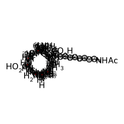 CC(=O)NCCOCCOCCOCCOCCOCCOCCOCCOCCC(=O)N[C@@H](CCC(=O)O)C(=O)N[C@@H]1CSSC[C@H](C(=O)N[C@H](C(N)=O)C(C)O)NC(=O)[C@H](Cc2c[nH]c3ccccc23)NC(=O)C(C(C)C)NC(=O)[C@@H](CC(C)C)NC(=O)[C@H](CCC(=O)O)NC(=O)CNC(=O)[C@H](CN)NC(=O)[C@H](Cc2c[nH]cn2)NC(=O)[C@H](Cc2c[nH]c3ccccc23)NC(=O)[C@@H](C)NC1=O